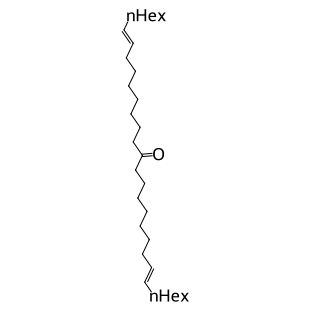 CCCCCC/C=C/CCCCCCCC(=O)CCCCCCC/C=C/CCCCCC